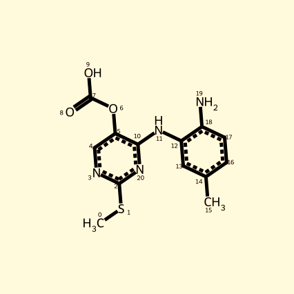 CSc1ncc(OC(=O)O)c(Nc2cc(C)ccc2N)n1